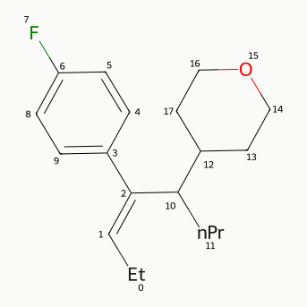 [CH2]CC=C(c1ccc(F)cc1)C(CCC)C1CCOCC1